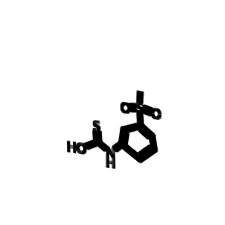 CS(=O)(=O)c1cccc(NC(O)=S)c1